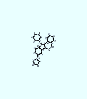 c1ccc(-n2c3c(c4cc(-c5cccs5)ccc42)CCc2cccnc2-3)cc1